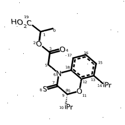 CC(OC(=O)CN1C(=S)[C@@H](C(C)C)Oc2c(C(C)C)cccc21)C(=O)O